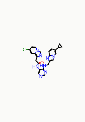 O=C(Cc1ncn2ccc(Cl)cc12)Nc1cncnc1NCc1cn2cc(C3CC3)ccc2n1